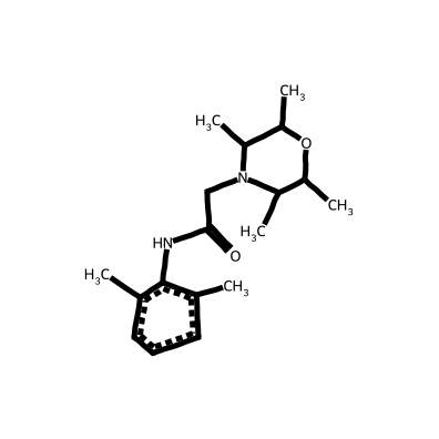 Cc1cccc(C)c1NC(=O)CN1C(C)C(C)OC(C)C1C